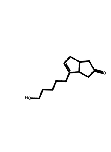 O=C1CC2CC=C(CCCCCO)C2C1